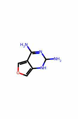 NC1=NC(N)Nc2cocc21